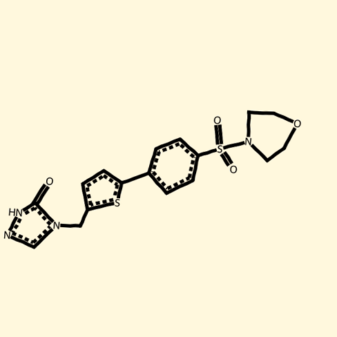 O=c1[nH]ncn1Cc1ccc(-c2ccc(S(=O)(=O)N3CCOCC3)cc2)s1